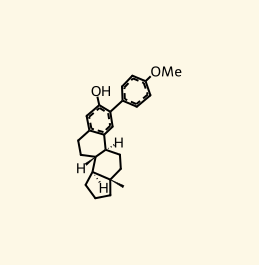 COc1ccc(-c2cc3c(cc2O)CC[C@@H]2[C@@H]3CC[C@]3(C)CCC[C@@H]23)cc1